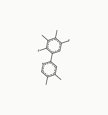 Cc1cnc(-c2cc(F)c(C)c(C)c2F)cc1C